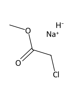 COC(=O)CCl.[H-].[Na+]